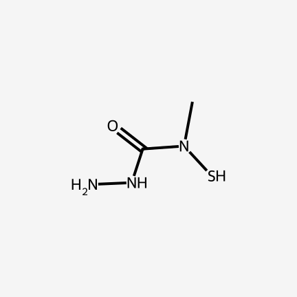 CN(S)C(=O)NN